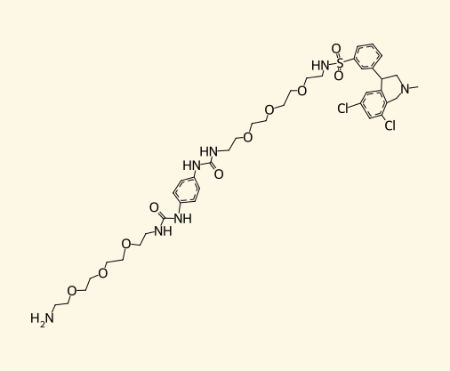 CN1Cc2c(Cl)cc(Cl)cc2C(c2cccc(S(=O)(=O)NCCOCCOCCOCCNC(=O)Nc3ccc(NC(=O)NCCOCCOCCOCCN)cc3)c2)C1